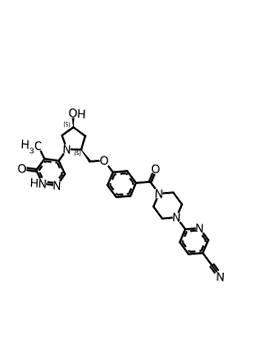 Cc1c(N2C[C@@H](O)C[C@H]2COc2cccc(C(=O)N3CCN(c4ccc(C#N)cn4)CC3)c2)cn[nH]c1=O